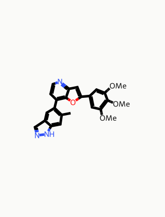 COc1cc(-c2cc3nccc(-c4cc5cn[nH]c5cc4C)c3o2)cc(OC)c1OC